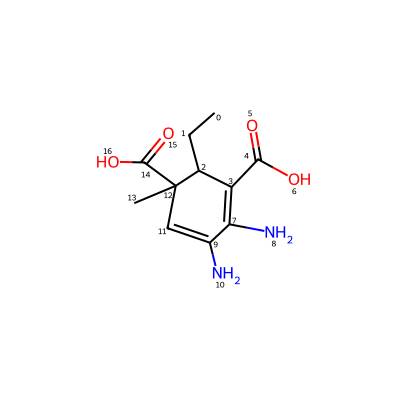 CCC1C(C(=O)O)=C(N)C(N)=CC1(C)C(=O)O